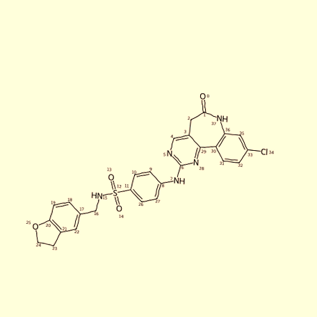 O=C1Cc2cnc(Nc3ccc(S(=O)(=O)NCc4ccc5c(c4)CCO5)cc3)nc2-c2ccc(Cl)cc2N1